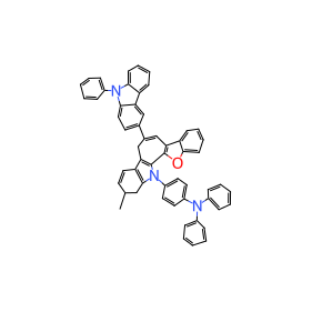 CC1C=Cc2c3c(n(-c4ccc(N(c5ccccc5)c5ccccc5)cc4)c2C1)-c1oc2ccccc2c1C=C(c1ccc2c(c1)c1ccccc1n2-c1ccccc1)C3